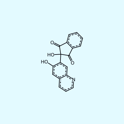 O=C1c2ccccc2C(=O)C1(O)c1cc2ncccc2cc1O